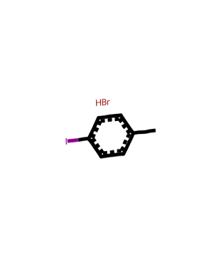 Br.Cc1ccc(I)cc1